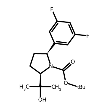 CC(C)(C)OC(=O)N1[C@H](c2cc(F)cc(F)c2)CC[C@@H]1C(C)(C)O